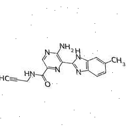 C#CCNC(=O)c1cnc(N)c(-c2nc3ccc(C)cc3[nH]2)n1